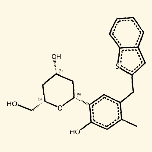 Cc1cc(O)c([C@H]2C[C@@H](O)C[C@@H](CO)O2)cc1Cc1cc2ccccc2s1